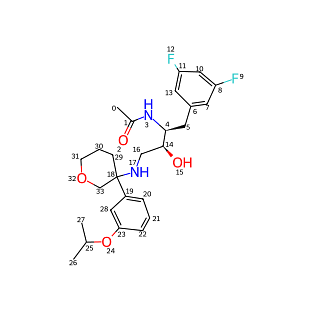 CC(=O)N[C@@H](Cc1cc(F)cc(F)c1)[C@@H](O)CNC1(c2cccc(OC(C)C)c2)CCCOC1